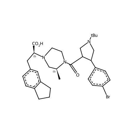 C[C@H]1CN([C@@H](Cc2ccc3c(c2)CCC3)C(=O)O)CCN1C(=O)C1CN(C(C)(C)C)CC1c1ccc(Br)cc1